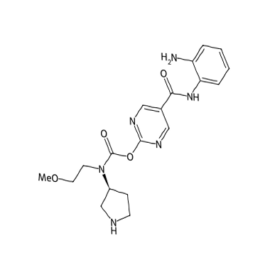 COCCN(C(=O)Oc1ncc(C(=O)Nc2ccccc2N)cn1)[C@H]1CCNC1